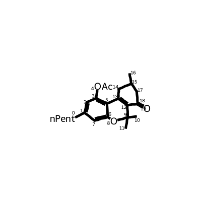 CCCCCc1cc(OC(C)=O)c2c(c1)OC(C)(C)C1=C2CC(C)CC1=O